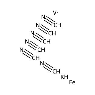 C#N.C#N.C#N.C#N.C#N.C#N.[Fe].[KH].[V]